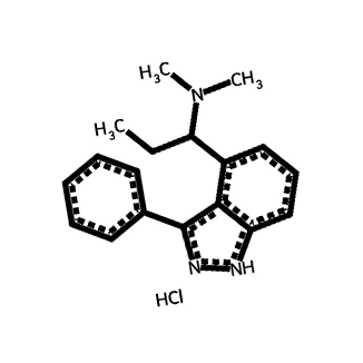 CCC(c1cccc2[nH]nc(-c3ccccc3)c12)N(C)C.Cl